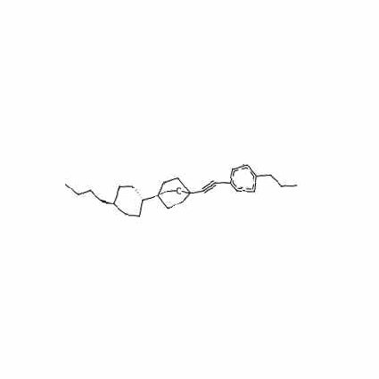 CCCC[C@H]1CC[C@H](C23CCC(C#Cc4ccc(CCC)cc4)(CC2)CC3)CC1